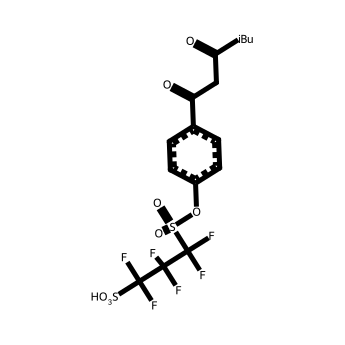 CCC(C)C(=O)CC(=O)c1ccc(OS(=O)(=O)C(F)(F)C(F)(F)C(F)(F)S(=O)(=O)O)cc1